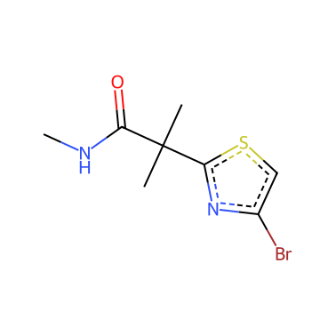 CNC(=O)C(C)(C)c1nc(Br)cs1